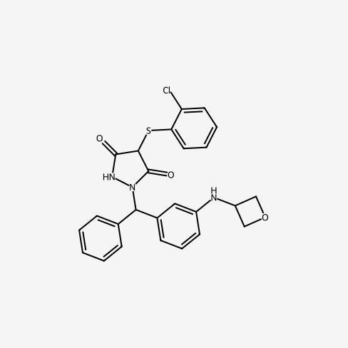 O=C1NN(C(c2ccccc2)c2cccc(NC3COC3)c2)C(=O)C1Sc1ccccc1Cl